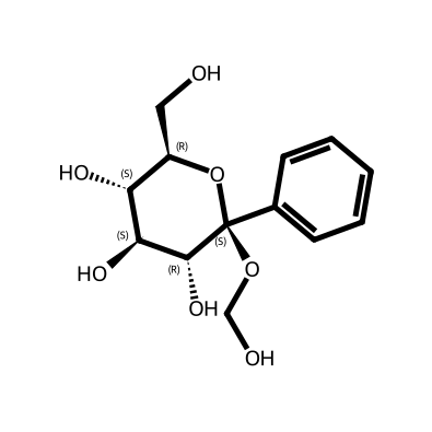 OCO[C@]1(c2ccccc2)O[C@H](CO)[C@@H](O)[C@H](O)[C@H]1O